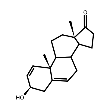 C[C@]12C=C[C@H](O)CC1=CCC1C2CC[C@]2(C)C(=O)CCC12